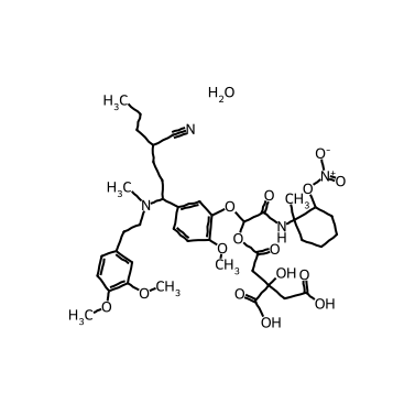 CCCC(C#N)CCC(c1ccc(OC)c(OC(OC(=O)CC(O)(CC(=O)O)C(=O)O)C(=O)NC2(C)CCCCC2O[N+](=O)[O-])c1)N(C)CCc1ccc(OC)c(OC)c1.O